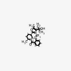 Cc1oc([C@@H]2CC[C@@H](C)N(C(=O)c3ccccc3OC(F)(F)F)C2)nc1C(C)(C)O